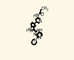 CCC(=O)Nc1cncc(-c2ccc3[nH]nc(-c4nc5c(N6CCCCC6)nccc5[nH]4)c3c2)c1